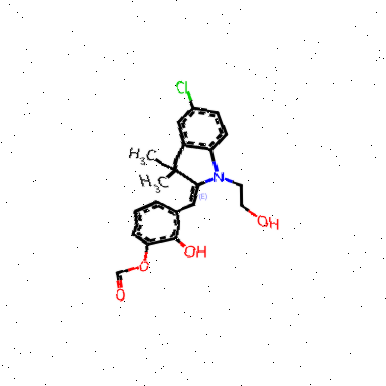 CC1(C)/C(=C\c2cccc(OC=O)c2O)N(CCO)c2ccc(Cl)cc21